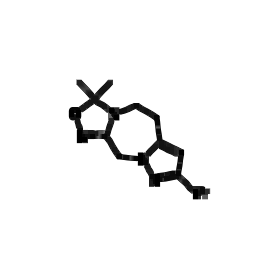 CC(C)c1cc2n(n1)CC1=NOC(C)(C)N1CC2